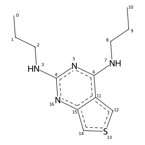 CCCNc1nc(NCCC)c2cscc2n1